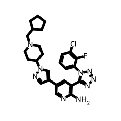 Nc1ncc(-c2cnn(C3CCN(CC4CCCC4)CC3)c2)cc1-c1nnnn1-c1cccc(Cl)c1F